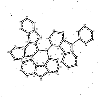 c1ccc(-n2c3ccccc3c3c(N(c4cc5ccccc5c5c4oc4ccccc45)c4cccc5sc6ccccc6c45)cccc32)cc1